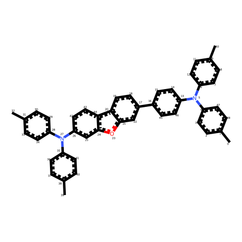 Cc1ccc(N(c2ccc(C)cc2)c2ccc(-c3ccc4c(c3)oc3cc(N(c5ccc(C)cc5)c5ccc(C)cc5)ccc34)cc2)cc1